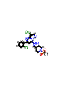 CCS(=O)(=O)N1CCC(CNc2cc(-c3ccccc3Cl)nc3c(Br)cnn23)CC1